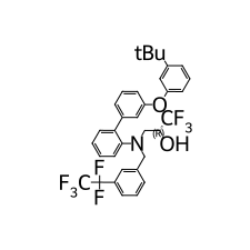 CC(C)(C)c1cccc(Oc2cccc(-c3ccccc3N(Cc3cccc(C(F)(F)C(F)(F)F)c3)C[C@@H](O)C(F)(F)F)c2)c1